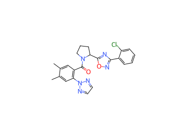 Cc1cc(C(=O)N2CCCC2c2nc(-c3ccccc3Cl)no2)c(-n2nccn2)cc1C